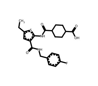 CCc1cc(C(=O)NCc2ccc(F)cc2)c(NC(=O)C2CCC(C(=O)O)CC2)s1